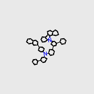 c1ccc(-c2cccc(N(c3ccc(-c4ccc5ccccc5c4)cc3)c3cccc(-c4cc(-c5ccccc5)cc(-n5c6ccccc6c6ccc7ccccc7c65)c4)c3)c2)cc1